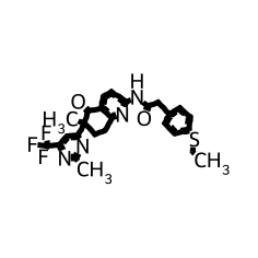 CCSc1ccc(CC(=O)Nc2ccc3c(n2)CCC(C)(c2cc(C(F)(F)F)nc(C)n2)C3=O)cc1